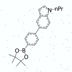 CCCn1ccc2cc(-c3ccc(B4OC(C)(C)C(C)(C)O4)cc3)ccc21